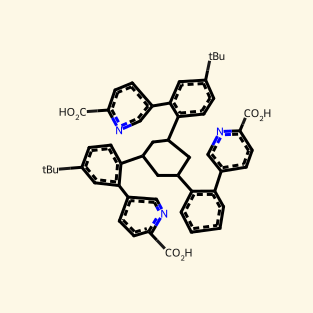 CC(C)(C)c1ccc(C2CC(c3ccccc3-c3ccc(C(=O)O)nc3)CC(c3ccc(C(C)(C)C)cc3-c3ccc(C(=O)O)nc3)C2)c(-c2ccc(C(=O)O)nc2)c1